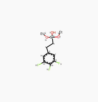 CCO[Si](O)(CCc1cc(F)c(F)c(F)c1)OCC